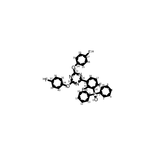 O=P(c1ccccc1)(c1ccccc1)c1c(F)ccc(-c2nc(Oc3ccc(F)cc3)nc(Oc3ccc(F)cc3)n2)c1F